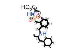 CC(CC1CCCCC1)NCc1ccccc1CS(=O)(=O)NC(C)C(=O)O